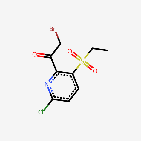 CCS(=O)(=O)c1ccc(Cl)nc1C(=O)CBr